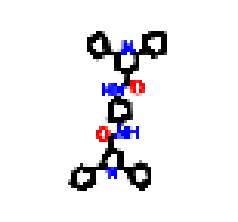 O=C(Nc1ccc(NC(=O)c2cc(-c3ccccc3)nc(-c3ccccc3)c2)cc1)c1cc(-c2ccccc2)nc(-c2ccccc2)c1